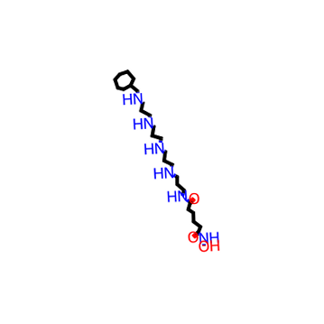 O=C(CCCCC(=O)NCCCNCCCNCCCNCCCNCC1CCCCCC1)NO